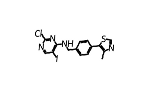 Cc1ncsc1-c1ccc(CNc2nc(Cl)ncc2I)cc1